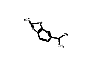 Cc1nc2ccc(C(C)O)cc2[nH]1